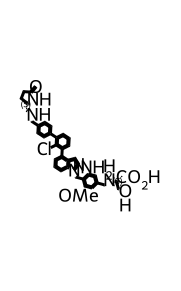 COc1cc(Cn2ncc3c(-c4cccc(-c5ccc(CNC[C@@H]6CCC(=O)N6)cc5)c4Cl)cccc32)c(N)cc1CN[C@@H](CO)C(=O)O